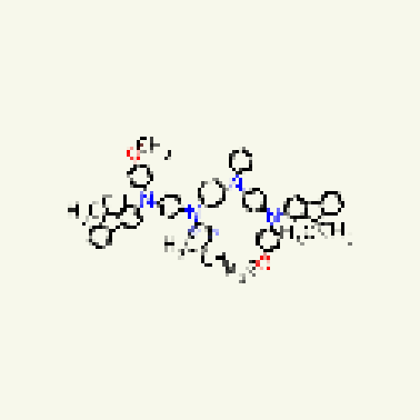 C=C/C=C\C(=C/C)N(C1=CCC=C(N(c2ccccc2)c2ccc(N(c3ccc(OC)cc3)c3ccc4c(c3)C(C)(C)c3ccccc3-4)cc2)C=C1)c1ccc(N(c2ccc(OC)cc2)c2ccc3c(c2)C(C)(C)c2ccccc2-3)cc1